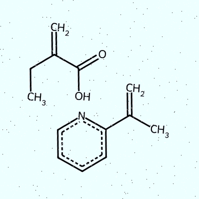 C=C(C)c1ccccn1.C=C(CC)C(=O)O